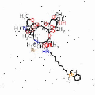 CC[C@H]1OC(=O)[C@H](C)[C@@H](O[C@H]2C[C@@](C)(OC)[C@@H](O)[C@H](C)O2)[C@H](C)[C@@H](O[C@@H]2O[C@H](C)C[C@H](N(C)C)[C@H]2OC(C)=O)[C@](C)(O)C[C@@H](C)CN(C)[C@H](C)[C@@H](OC(=O)NCCCCCCCCCC[P+](C)(C)c2ccccc2)[C@]1(C)O.[Br-]